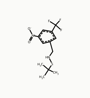 CC(C)(C)SNCc1cc([N+](=O)[O-])cc(C(F)(F)F)c1